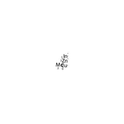 [Cu].[In].[Mo].[Zn]